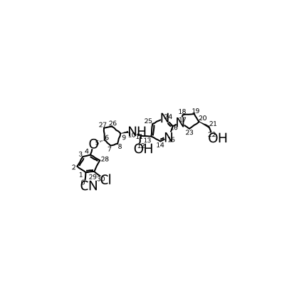 N#Cc1ccc(O[C@H]2CC[C@H](NC(O)c3cnc(N4CC[C@@H](CO)C4)nc3)CC2)cc1Cl